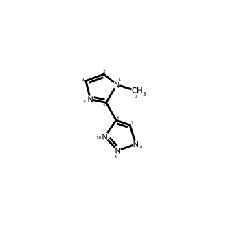 Cn1ccnc1C1=C[N]N=N1